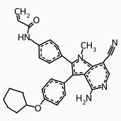 C=CC(=O)Nc1ccc(-c2c(-c3ccc(OC4CCCCC4)cc3)c3c(N)ncc(C#N)c3n2C)cc1